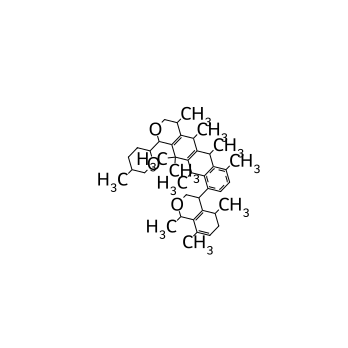 CC1=CCC(C)C2=C1C(C)OCC2c1ccc(C)c2c1C(C)C1=C(C(C)C3=C(C(C4CCC(C)CO4)OCC3C)C1(C)C)C2C